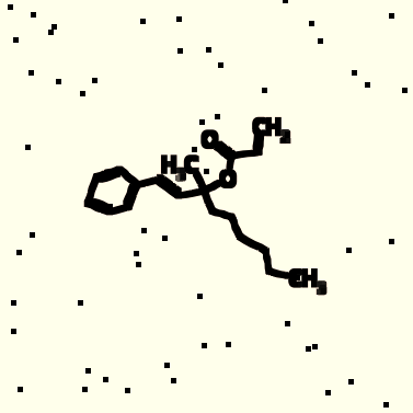 C=CC(=O)OC(C)(C=Cc1ccccc1)CCCCCC